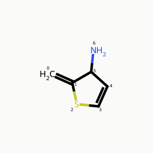 C=C1SC=CC1N